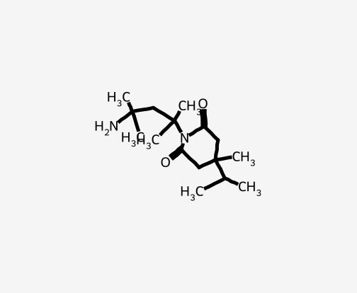 CC(C)C1(C)CC(=O)N(C(C)(C)CC(C)(C)N)C(=O)C1